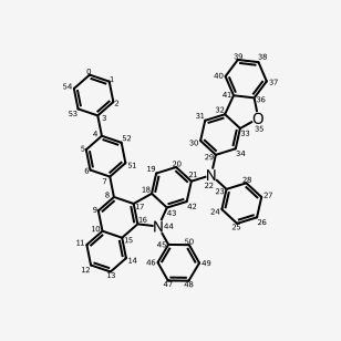 c1ccc(-c2ccc(-c3cc4ccccc4c4c3c3ccc(N(c5ccccc5)c5ccc6c(c5)oc5ccccc56)cc3n4-c3ccccc3)cc2)cc1